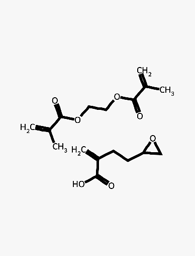 C=C(C)C(=O)OCCOC(=O)C(=C)C.C=C(CCC1CO1)C(=O)O